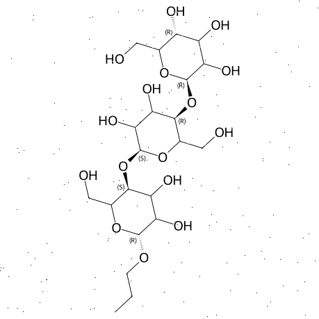 CCCO[C@@H]1OC(CO)[C@@H](O[C@@H]2OC(CO)[C@H](O[C@H]3OC(CO)[C@H](O)C(O)C3O)C(O)C2O)C(O)C1O